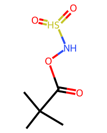 CC(C)(C)C(=O)ON[SH](=O)=O